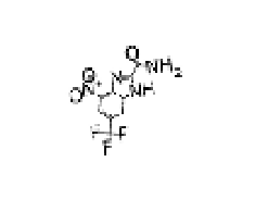 NC(=O)c1nc2c([N+](=O)[O-])cc(C(F)(F)F)cc2[nH]1